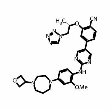 COc1cc(N2CCCN(C3COC3)CC2)ccc1Nc1ncc(-c2ccc(C#N)c(O[C@@H](C)Cn3cnnn3)c2)cn1